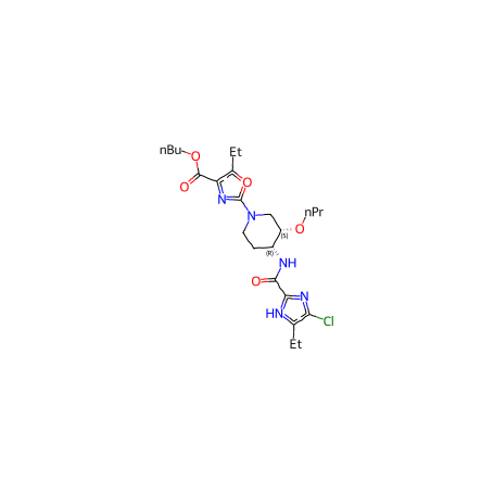 CCCCOC(=O)c1nc(N2CC[C@@H](NC(=O)c3nc(Cl)c(CC)[nH]3)[C@@H](OCCC)C2)oc1CC